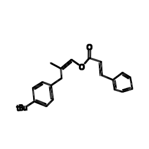 CC(=COC(=O)C=Cc1ccccc1)Cc1ccc(C(C)(C)C)cc1